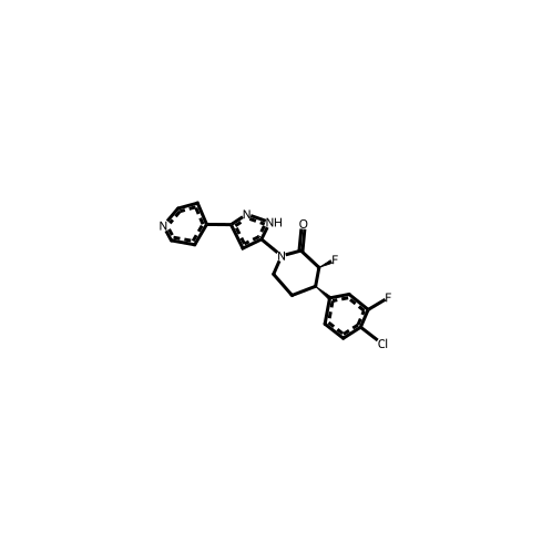 O=C1[C@@H](F)[C@@H](c2ccc(Cl)c(F)c2)CCN1c1cc(-c2ccncc2)n[nH]1